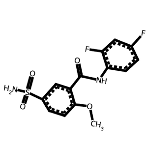 COc1ccc(S(N)(=O)=O)cc1C(=O)Nc1ccc(F)cc1F